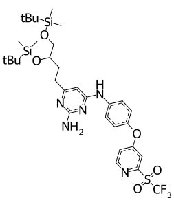 CC(C)(C)[Si](C)(C)OCC(CCc1cc(Nc2ccc(Oc3ccnc(S(=O)(=O)C(F)(F)F)c3)cc2)nc(N)n1)O[Si](C)(C)C(C)(C)C